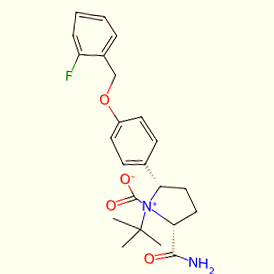 CC(C)(C)[N+]1(C(=O)[O-])[C@@H](C(N)=O)CC[C@H]1c1ccc(OCc2ccccc2F)cc1